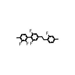 Cc1ccc(CCc2cc(F)c(-c3ccc(C)c(F)c3F)c(F)c2)c(F)c1